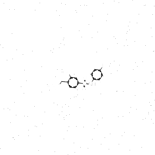 Cc1cc(S(=O)(=O)Nc2ccc(F)cc2)ccc1CC(=O)O